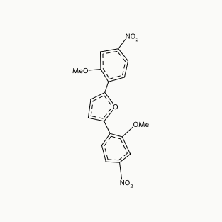 COc1cc([N+](=O)[O-])ccc1-c1ccc(-c2ccc([N+](=O)[O-])cc2OC)o1